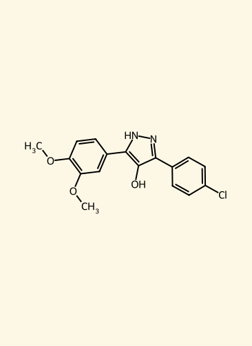 COc1ccc(-c2[nH]nc(-c3ccc(Cl)cc3)c2O)cc1OC